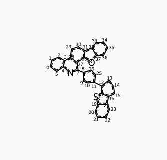 c1ccc2c(c1)nc(-c1ccc(-c3cccc4c3sc3ccccc34)cc1)c1c2ccc2c3ccccc3oc21